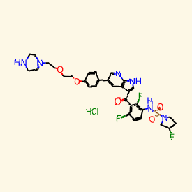 Cl.O=C(c1c(F)ccc(NS(=O)(=O)N2CCC(F)C2)c1F)c1c[nH]c2ncc(-c3ccc(OCCOCCN4CCNCC4)cc3)cc12